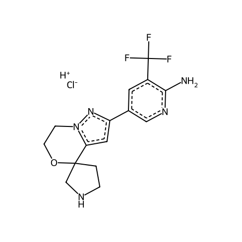 Nc1ncc(-c2cc3n(n2)CCOC32CCNC2)cc1C(F)(F)F.[Cl-].[H+]